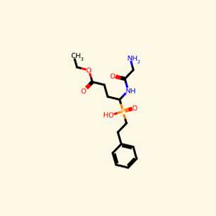 CCOC(=O)CCC(NC(=O)CN)P(=O)(O)CCc1ccccc1